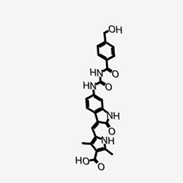 Cc1[nH]c(/C=C2\C(=O)Nc3cc(NC(=O)NC(=O)c4ccc(CO)cc4)ccc32)c(C)c1C(=O)O